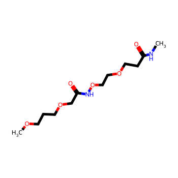 CNC(=O)CCOCCONC(=O)COCCCOC